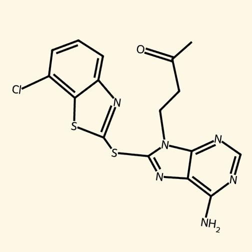 CC(=O)CCn1c(Sc2nc3cccc(Cl)c3s2)nc2c(N)ncnc21